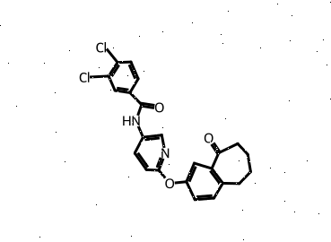 O=C(Nc1ccc(Oc2ccc3c(c2)C(=O)CCCC3)nc1)c1ccc(Cl)c(Cl)c1